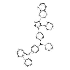 c1ccc(N(c2ccc(-c3nnc(-c4ccc5cccnc5c4)n3-c3ccccc3)cc2)c2ccc(-n3c4ccccc4c4ccccc43)cc2)cc1